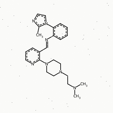 Cc1nccn1-c1ccccc1/N=C/c1cccnc1N1CCN(CCN(C)C)CC1